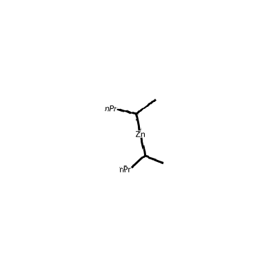 CCC[CH](C)[Zn][CH](C)CCC